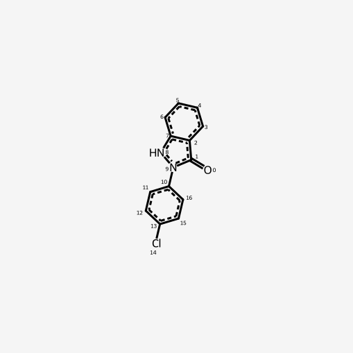 O=c1c2ccccc2[nH]n1-c1ccc(Cl)cc1